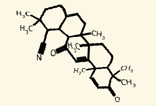 CC1(C)CCC2CCC3(C)C(C(=O)C=C4C5(C)C=CC(=O)C(C)(C)C5CCC43C)C2C1C#N